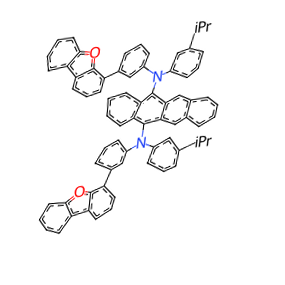 CC(C)c1cccc(N(c2cccc(-c3cccc4c3oc3ccccc34)c2)c2c3ccccc3c(N(c3cccc(-c4cccc5c4oc4ccccc45)c3)c3cccc(C(C)C)c3)c3cc4ccccc4cc23)c1